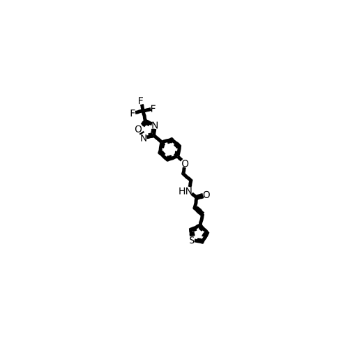 O=C(C=Cc1ccsc1)NCCOc1ccc(-c2noc(C(F)(F)F)n2)cc1